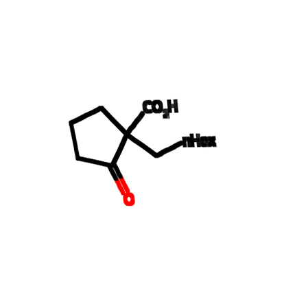 CCCCCCCC1(C(=O)O)CCCC1=O